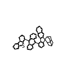 c1cc(-c2c3ccccc3c(-c3cccc4c3sc3ccccc34)c3ccccc23)c2c(c1)C1(c3cc4ccccc4cc3-2)C2CC3CC(C2)CC1C3